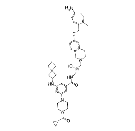 CC1=CCC(N)=CC=C1COc1ccc2c(c1)CCN(C[C@@H](O)CNC(=O)c1cc(NC3CC4(CCC4)C3)nc(N3CCN(C(=O)C4CC4)CC3)c1)C2